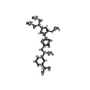 CCc1cc(C(OC)OC)sc1-c1nnc(SC(C)c2cccc([N+](=O)[O-])c2)o1